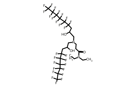 CCN(CC)C(=O)CCN(CC(O)CC(F)(F)C(F)(F)C(F)(F)C(F)(F)C(F)(F)C(F)(F)F)CC(O)CC(F)(F)C(F)(F)C(F)(F)C(F)(F)C(F)(F)C(F)(F)F